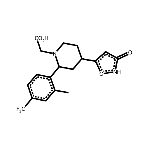 Cc1cc(C(F)(F)F)ccc1C1CC(c2cc(=O)[nH]o2)CCN1CC(=O)O